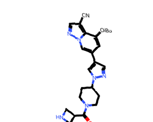 CC(C)COc1cc(-c2cnn(C3CCN(C(=O)C4CNC4)CC3)c2)cn2ncc(C#N)c12